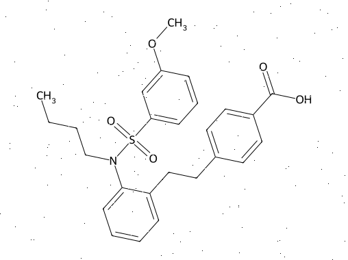 CCCCN(c1ccccc1CCc1ccc(C(=O)O)cc1)S(=O)(=O)c1cccc(OC)c1